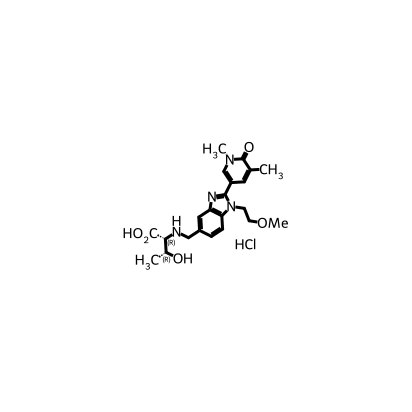 COCCn1c(-c2cc(C)c(=O)n(C)c2)nc2cc(CN[C@@H](C(=O)O)[C@@H](C)O)ccc21.Cl